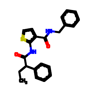 CCC(C(=O)Nc1sccc1C(=O)NCc1ccccc1)c1ccccc1